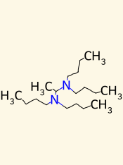 CCCCN(CCCC)C(C)N(CCCC)CCCC